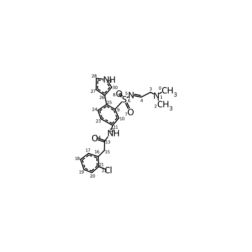 CN(C)CC=NS(=O)(=O)c1cc(NC(=O)Cc2ccccc2Cl)ccc1-c1cc[nH]c1